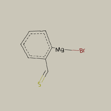 S=Cc1cccc[c]1[Mg][Br]